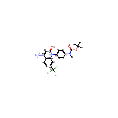 CN(C(=O)OC(C)(C)C)c1ccc(-n2c(=O)cc(N)c3ccc(C(F)(F)F)cc32)cc1